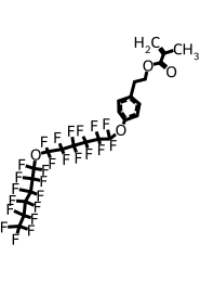 C=C(C)C(=O)OCCc1ccc(OC(F)(F)C(F)(F)C(F)(F)C(F)(F)C(F)(F)C(F)(F)OC(F)(F)C(F)(F)C(F)(F)C(F)(F)C(F)(F)C(F)(F)F)cc1